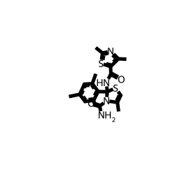 CC1=CSC(NC(=O)c2sc(C)nc2C)(c2c(C)cc(C)cc2C)N1C(N)=O